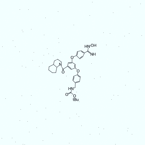 CC(C)(C)OC(=O)NCc1ccc(Oc2cc(Oc3ccc(C(=N)NO)cc3)cc(C(=O)N3CCCC4CCCCC43)c2)cc1